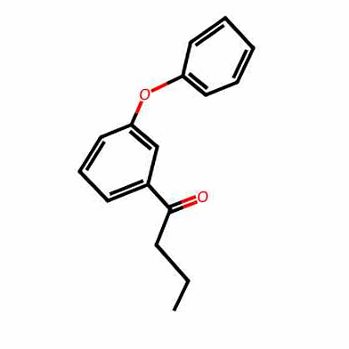 CCCC(=O)c1cccc(Oc2ccccc2)c1